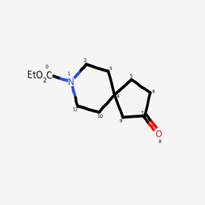 CCOC(=O)N1CCC2(CCC(=O)C2)CC1